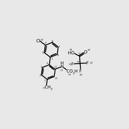 Cc1ccc(-c2cccc(Cl)c2)c(NC(=O)O)c1.O=C(O)C(F)(F)F